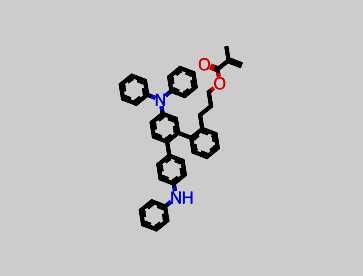 C=C(C)C(=O)OCCCc1ccccc1-c1cc(N(c2ccccc2)c2ccccc2)ccc1-c1ccc(Nc2ccccc2)cc1